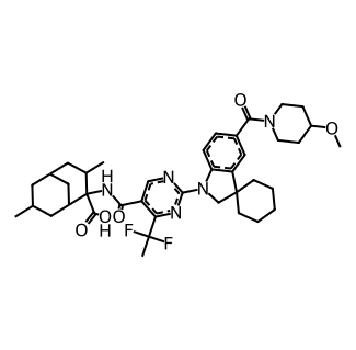 COC1CCN(C(=O)c2ccc3c(c2)C2(CCCCC2)CN3c2ncc(C(=O)NC3(C(=O)O)C(C)CC4CC(C)CC3C4)c(C(C)(F)F)n2)CC1